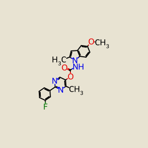 COc1ccc2c(c1)cc(C)n2NC(=O)Oc1cnc(-c2cccc(F)c2)nc1C